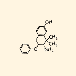 CC1(C)c2cc(O)ccc2C[C@H](Oc2ccccc2)[C@H]1N